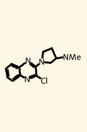 CNC1CCN(c2nc3ccccc3nc2Cl)C1